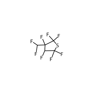 FC(F)C1(F)C(F)C(F)(F)SC1(F)F